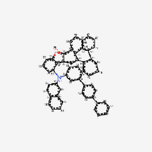 c1ccc(-c2ccc(-c3cccc(N(c4ccc5ccccc5c4)c4cccc5oc6c7ccccc7c(-c7ccccc7-c7ccccc7)cc6c45)c3)cc2)cc1